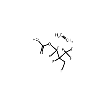 C=C.O=C(O)OC(F)(F)C(F)(CF)C(F)(F)F